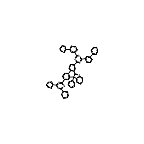 O=C1c2cc(-c3nc(-c4cccc(-c5ccccc5)c4)nc(-c4cccc(-c5ccccc5)c4)n3)ccc2-c2ccc(-c3nc(-c4ccccc4)nc(-c4ccccc4)n3)cc2C1(c1ccccc1)c1ccccc1